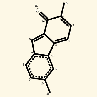 CC1=CC=C2C(=Cc3ccc(C)cc32)C1=O